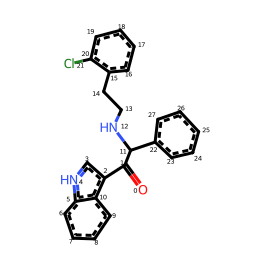 O=C(c1c[nH]c2ccccc12)C(NCCc1ccccc1Cl)c1ccccc1